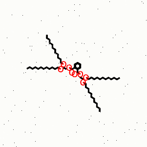 CCCCCCCCCCCCOC(COC(=O)c1ccccc1C(=O)OCC(OCCCCCCCCCCCC)OCCCCCCCCCCCC)OCCCCCCCCCCCC